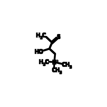 CC(=S)C(O)C[N+](C)(C)C